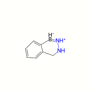 [BH-]1=[NH+]NCc2ccccc21